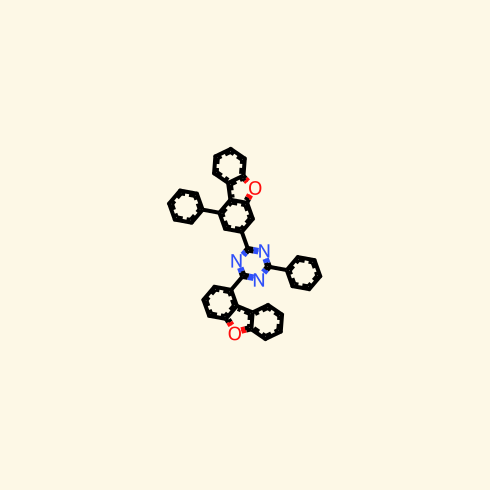 c1ccc(-c2nc(-c3cc(-c4ccccc4)c4c(c3)oc3ccccc34)nc(-c3cccc4oc5ccccc5c34)n2)cc1